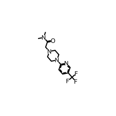 CN(C)C(=O)CN1CCN(c2ccc(C(F)(F)F)cn2)CC1